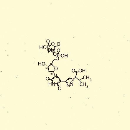 CC(C)C(C(=O)O)n1cc(-c2cn([C@H]3C[C@H](O)[C@@H](COP(=O)(O)OP(=O)(O)OP(=O)(O)O)O3)c(=O)[nH]c2=O)nn1